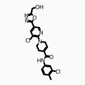 Cc1ccc(NC(=O)C2=CCN(c3ncc(-c4nnc(CO)o4)cc3Cl)CC2)cc1Cl